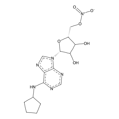 O=[N+]([O-])OC[C@H]1O[C@@H](n2cnc3c(NC4CCCC4)ncnc32)C(O)C1O